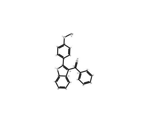 CC(C)Oc1ccc(-c2sc3ccccc3c2C(=O)c2ccccc2)cc1